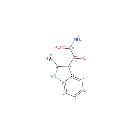 Cc1[nH]c2ccccc2c1C(=O)C(N)=O